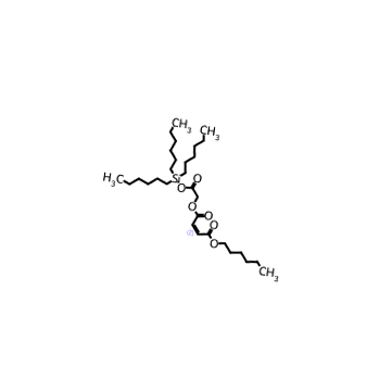 CCCCCCOC(=O)/C=C\C(=O)OCC(=O)O[Si](CCCCCC)(CCCCCC)CCCCCC